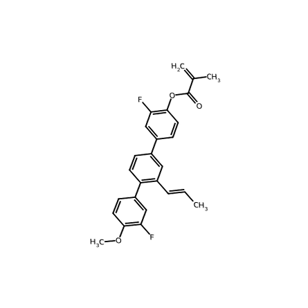 C=C(C)C(=O)Oc1ccc(-c2ccc(-c3ccc(OC)c(F)c3)c(/C=C/C)c2)cc1F